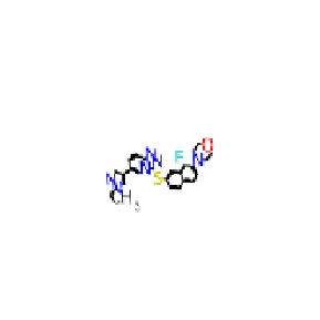 Cn1cc(-c2ccc3nnc(Sc4ccc5ccc(N6CCOCC6)c(F)c5c4)n3c2)cn1